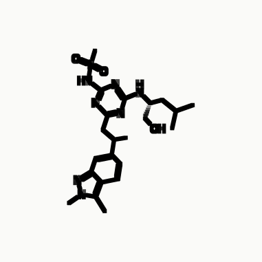 Cc1c2ccc(C(C)Cc3nc(N[C@@H](CO)CC(C)C)nc(NS(C)(=O)=O)n3)cc2nn1C